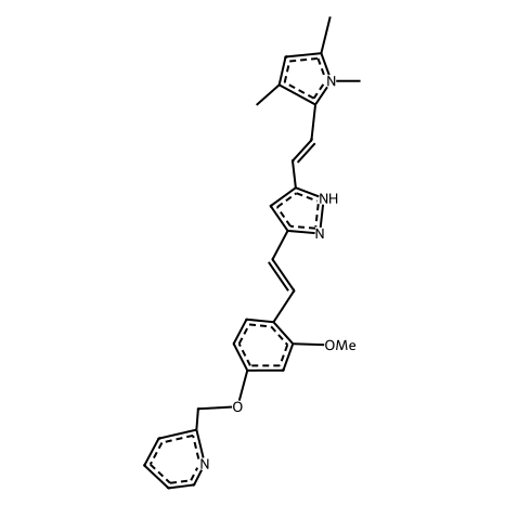 COc1cc(OCc2ccccn2)ccc1C=Cc1cc(C=Cc2c(C)cc(C)n2C)[nH]n1